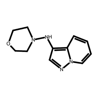 c1ccn2ncc(NN3CCOCC3)c2c1